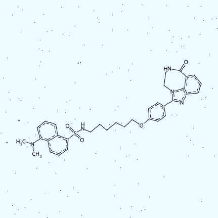 CN(C)c1cccc2c(S(=O)(=O)NCCCCCCOc3ccc(-c4nc5cccc6c5n4CCNC6=O)cc3)cccc12